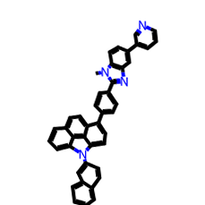 Cn1c(-c2ccc(-c3ccc4c5c3ccc3cccc(c35)n4-c3ccc4ccccc4c3)cc2)nc2cc(-c3cccnc3)ccc21